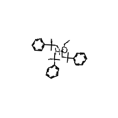 CC[O][Hf]([CH2]C(C)(C)c1ccccc1)([CH2]C(C)(C)c1ccccc1)[CH2]C(C)(C)c1ccccc1